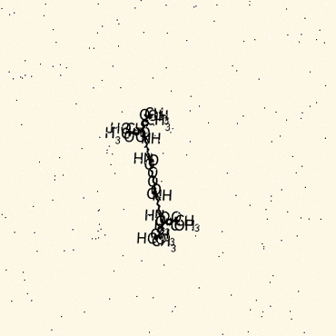 CC(C)(O)C(=O)c1ccc(C(OC(=O)NCCCCCCNC(=O)OCCOCCOCCOC(=O)NCCCCCCNC(=O)OC(c2ccc(C(=O)C(C)(C)O)cc2)c2ccc(C(=O)C(C)(C)O)cc2)c2ccc(C(=O)C(C)(C)O)cc2)cc1